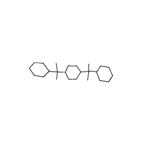 CC(C)(C1CCCCC1)C1CCC(C(C)(C)C2CCCCC2)CC1